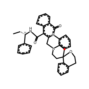 CC[C@H](NC(=O)c1c(CN2CCC3(CC2)OCCc2ccccc23)n(-c2ccccc2)c(=O)c2ccccc12)c1ccccc1